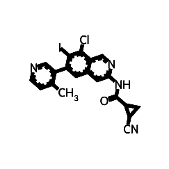 Cc1ccncc1-c1cc2cc(NC(=O)C3CC3C#N)ncc2c(Cl)c1I